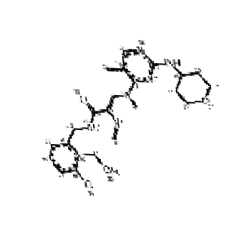 C=N/C(=C\N(C)c1nc(NC2CCOCC2)ncc1C)C(=O)NCc1cccc(Cl)c1CO